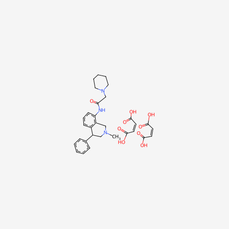 CN1Cc2c(NC(=O)CN3CCCCC3)cccc2C(c2ccccc2)C1.O=C(O)/C=C\C(=O)O.O=C(O)/C=C\C(=O)O